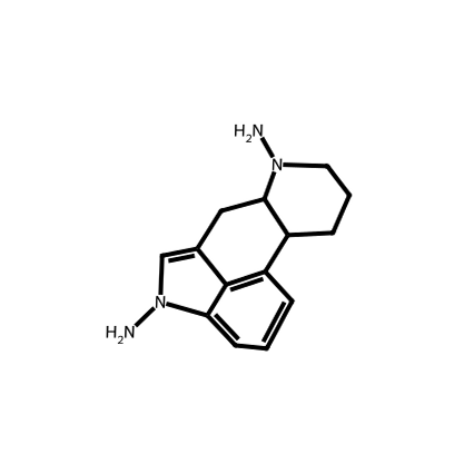 NN1CCCC2c3cccc4c3c(cn4N)CC21